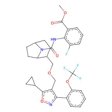 COC(=O)c1cccc(F)c1NC(=O)N1C2CCC(COCc3c(-c4ccccc4OC(F)(F)F)noc3C3CC3)C1CC2